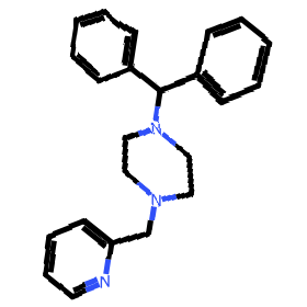 c1ccc(C(c2ccccc2)N2CCN(Cc3ccccn3)CC2)cc1